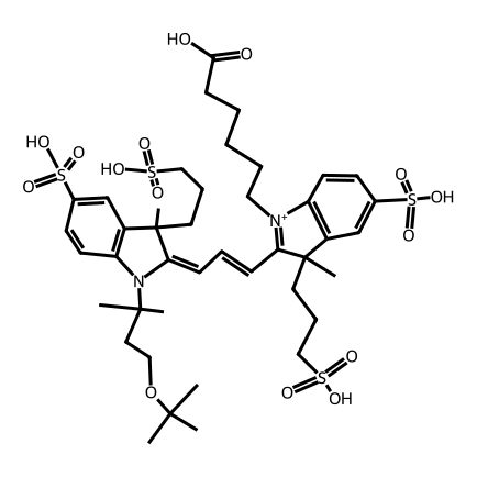 CC(C)(C)OCCC(C)(C)N1/C(=C/C=C/C2=[N+](CCCCCC(=O)O)c3ccc(S(=O)(=O)O)cc3C2(C)CCCS(=O)(=O)O)C(C)(CCCS(=O)(=O)O)c2cc(S(=O)(=O)O)ccc21